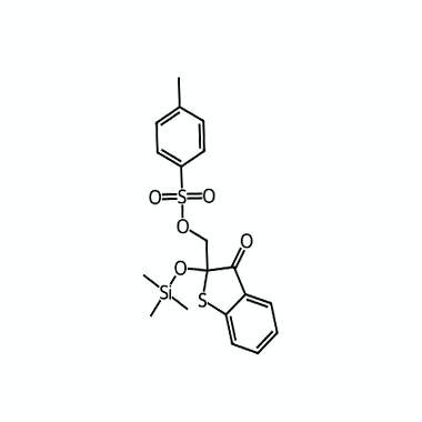 Cc1ccc(S(=O)(=O)OCC2(O[Si](C)(C)C)Sc3ccccc3C2=O)cc1